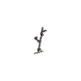 CCCCCC(CCCCC)CCOC(=O)CCCCCCCCC(CCCCCCCCC(=O)OCCC(CCCCC)CCCCC)OCCCCN(CC)CC